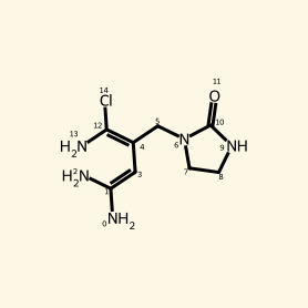 NC(N)=C/C(CN1CCNC1=O)=C(\N)Cl